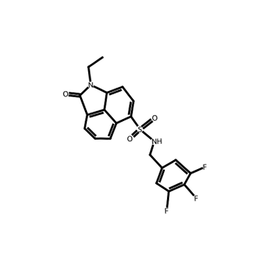 CCN1C(=O)c2cccc3c(S(=O)(=O)NCc4cc(F)c(F)c(F)c4)ccc1c23